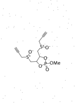 C#CC[S+]([O-])CC1OP(=O)(OC)OC1C[S+]([O-])CC#C